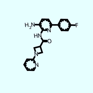 Nc1ccc(-c2ccc(F)cc2)nc1NC(=O)C1CN(c2ccccn2)C1